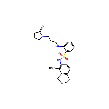 O=C(O)c1c(NS(=O)(=O)c2ccccc2NCCCN2CCCC2=O)ccc2c1CCCC2